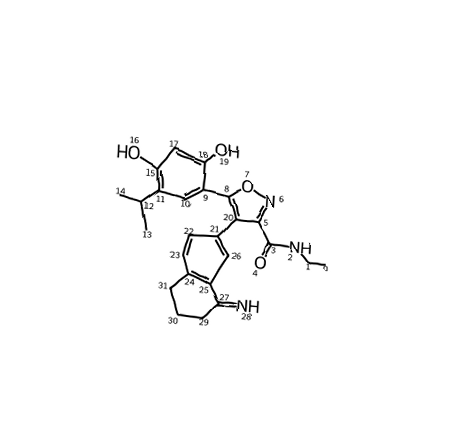 CCNC(=O)c1noc(-c2cc(C(C)C)c(O)cc2O)c1-c1ccc2c(c1)C(=N)CCC2